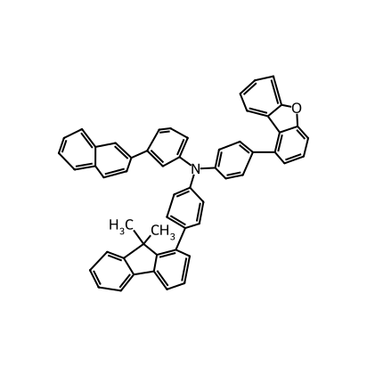 CC1(C)c2ccccc2-c2cccc(-c3ccc(N(c4ccc(-c5cccc6oc7ccccc7c56)cc4)c4cccc(-c5ccc6ccccc6c5)c4)cc3)c21